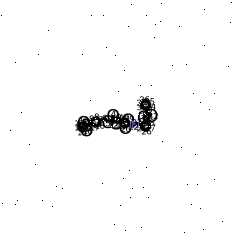 CC1(OC(=O)OCc2ccc(B3OCCCO3)cc2)COC(/C=C/c2ccccc2OC(=O)c2ccccc2)OC1